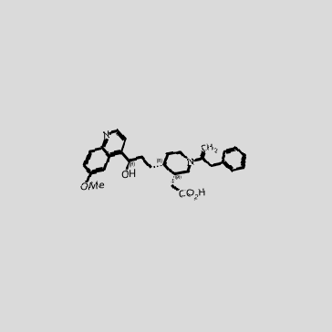 C=C(Cc1ccccc1)N1CC[C@@H](CC[C@@H](O)c2ccnc3ccc(OC)cc23)[C@@H](CC(=O)O)C1